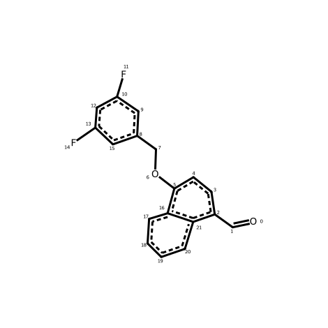 O=Cc1ccc(OCc2cc(F)cc(F)c2)c2ccccc12